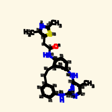 Cc1nc(C)c(CC(=O)Nc2ccc3cc2CCc2cccc(c2)Nc2ncc(C)c(n2)N3)s1